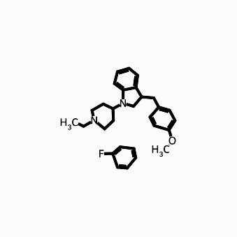 CCN1CCC(N2CC(Cc3ccc(OC)cc3)c3ccccc32)CC1.Fc1ccccc1